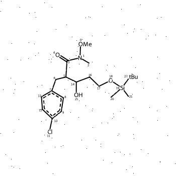 CON(C)C(=O)C(Cc1ccc(Cl)cc1)C(O)CCO[Si](C)(C)C(C)(C)C